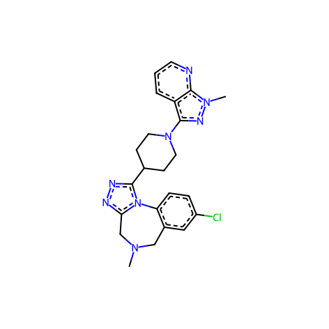 CN1Cc2cc(Cl)ccc2-n2c(nnc2C2CCN(c3nn(C)c4ncccc34)CC2)C1